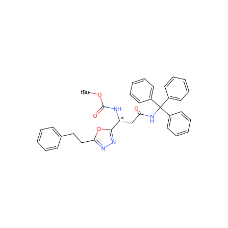 CC(C)(C)OC(=O)N[C@H](CC(=O)NC(c1ccccc1)(c1ccccc1)c1ccccc1)c1nnc(CCc2ccccc2)o1